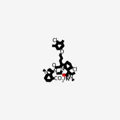 Cc1cc(OCCCc2c3n(c4c(-c5c(C)nn(C)c5C)c(Cl)ccc24)[C@H](C)CN(c2cn(C)c4cccc(C(=O)O)c24)C3=O)cc(C)c1Cl